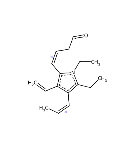 C=Cc1c(/C=C\C)c(CC)n(CC)c1/C=C\CC=O